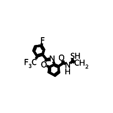 C=C(S)NC(=O)c1cccc2oc(-c3cc(F)ccc3C(F)(F)F)nc12